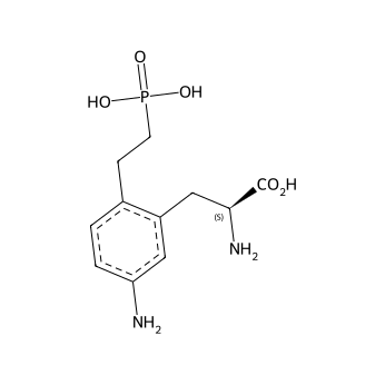 Nc1ccc(CCP(=O)(O)O)c(C[C@H](N)C(=O)O)c1